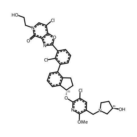 COc1nc(O[C@H]2CCc3c(-c4cccc(-c5nc6c(=O)n(CCO)cc(Cl)c6o5)c4Cl)cccc32)c(Cl)cc1CN1CC[C@@H](O)C1